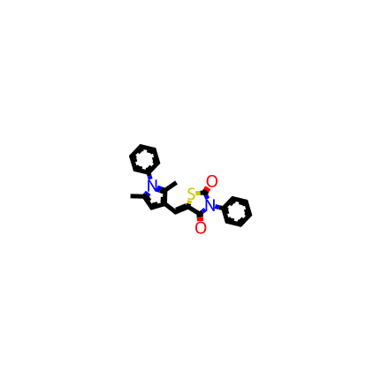 Cc1cc(C=C2SC(=O)N(c3ccccc3)C2=O)c(C)n1-c1ccccc1